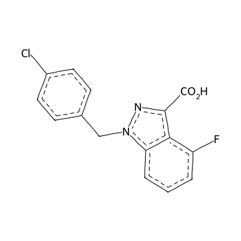 O=C(O)c1nn(Cc2ccc(Cl)cc2)c2cccc(F)c12